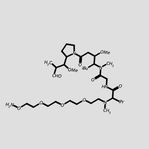 CCC(C)C(C(CC(=O)N1CCCC1C(OC)C(C)C=O)OC)N(C)C(=O)CNC(=O)C(C(C)C)N(C)CCOCCOCCOCCON